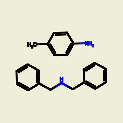 Cc1ccc(N)cc1.c1ccc(CNCc2ccccc2)cc1